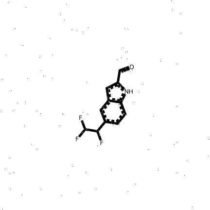 O=Cc1cc2cc(C(F)C(F)F)ccc2[nH]1